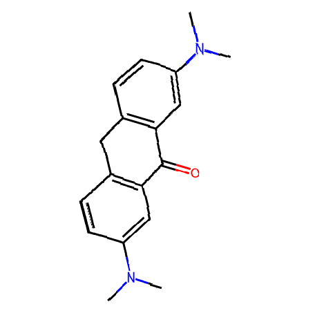 CN(C)c1ccc2c(c1)C(=O)c1cc(N(C)C)ccc1C2